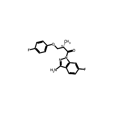 C[C@@H](COc1ccc(F)cc1)C(=O)n1nc(N)c2ccc(F)cc21